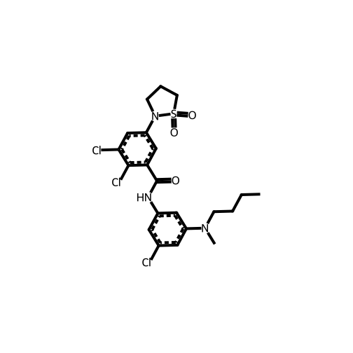 CCCCN(C)c1cc(Cl)cc(NC(=O)c2cc(N3CCCS3(=O)=O)cc(Cl)c2Cl)c1